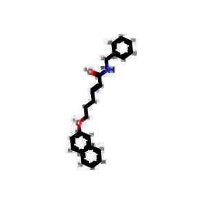 O=C(/C=C/CCCOc1ccc2ccccc2c1)NCc1ccccc1